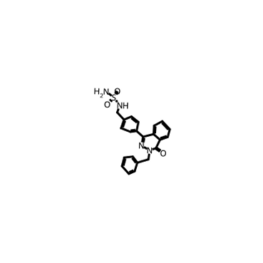 NS(=O)(=O)NCc1ccc(-c2nn(Cc3ccccc3)c(=O)c3ccccc23)cc1